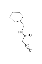 [C-]#[N+]CC(=O)NCC1CCCCC1